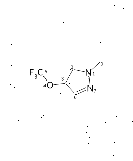 CN1[CH]C(OC(F)(F)F)C=N1